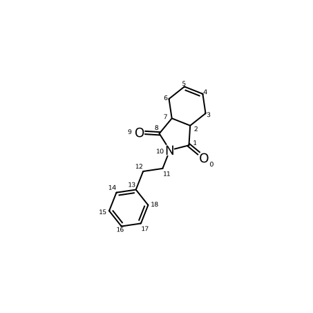 O=C1C2CC=CCC2C(=O)N1CCc1ccccc1